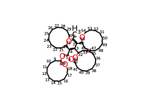 CC=C(C(=C(C(=O)OC1CCCCCCCCCCO1)C1CCCCCCCCCCO1)C1CCCCCCCCCCO1)C1CCCCCCCCCCO1